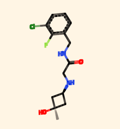 C[C@]1(O)C[C@@H](NCC(=O)NCc2cccc(Cl)c2F)C1